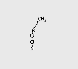 CCCCCCCOC[C@H]1CC[C@H](c2ccc(C#N)cc2)CC1